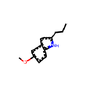 [CH2]CCc1cc2cc(OC)ccc2[nH]1